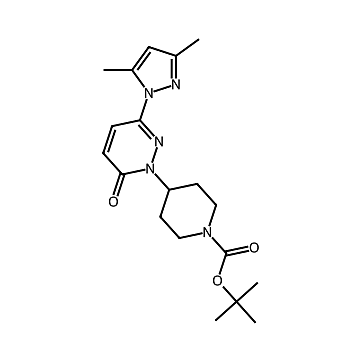 Cc1cc(C)n(-c2ccc(=O)n(C3CCN(C(=O)OC(C)(C)C)CC3)n2)n1